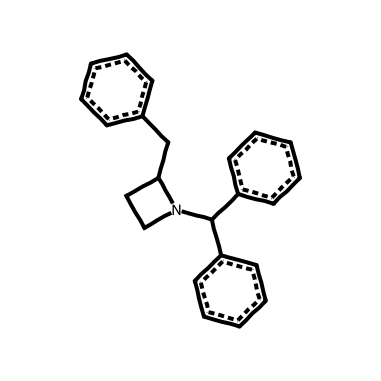 c1ccc(CC2CCN2C(c2ccccc2)c2ccccc2)cc1